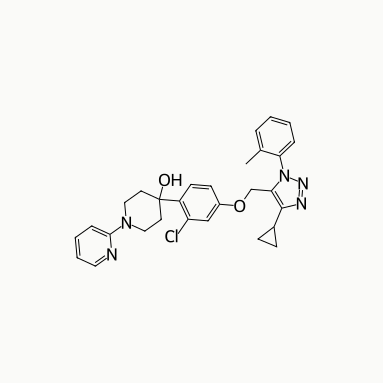 Cc1ccccc1-n1nnc(C2CC2)c1COc1ccc(C2(O)CCN(c3ccccn3)CC2)c(Cl)c1